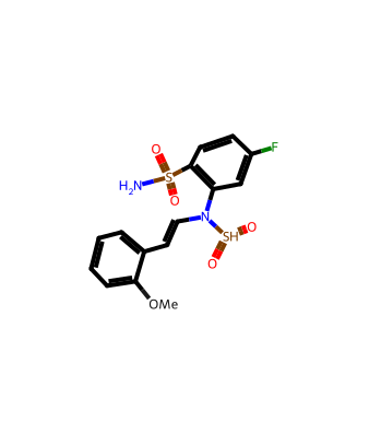 COc1ccccc1C=CN(c1cc(F)ccc1S(N)(=O)=O)[SH](=O)=O